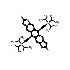 CC(C)[Si](C#Cc1c2cc3cc(F)sc3cc2c(C#C[Si](C(C)C)(C(C)C)C(C)C)c2cc3cc(F)sc3cc12)(C(C)C)C(C)C